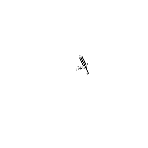 [C]#CC.[NaH]